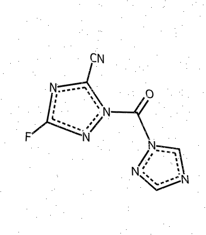 N#Cc1nc(F)nn1C(=O)n1cncn1